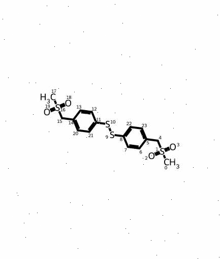 CS(=O)(=O)Cc1ccc(SSc2ccc(CS(C)(=O)=O)cc2)cc1